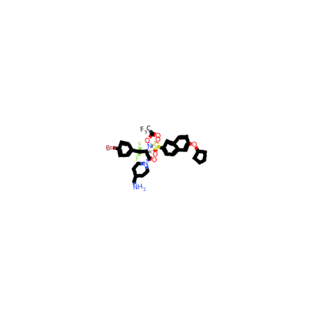 NCC1CCN(C(=O)[C@@H](N(OC(=O)C(F)(F)F)S(=O)(=O)c2ccc3cc(OC4CCCC4)ccc3c2)C(F)(F)c2ccc(Br)cc2)CC1